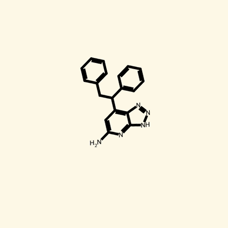 Nc1cc(C(Cc2ccccc2)c2ccccc2)c2nn[nH]c2n1